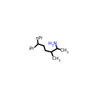 CCCC(CCC(C)C(C)N)C(C)C